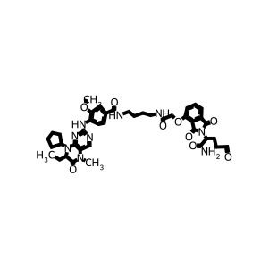 CCC1C(=O)N(C)c2cnc(Nc3ccc(C(=O)NCCCCNC(=O)COc4cccc5c4C(=O)N(C(CCC=O)C(N)=O)C5=O)cc3OC)nc2N1C1CCCC1